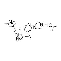 Cc1cc(-c2cc(-c3ccc(N4CCN(CCOC(C)C)CC4)nc3)c3c(C#N)cnn3c2)on1